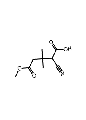 COC(=O)CC(C)(C)C(C#N)C(=O)O